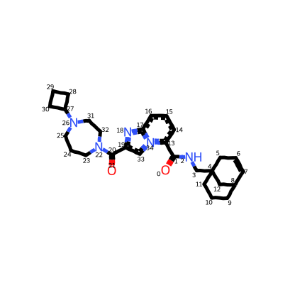 O=C(NCC12CC=CC(CCC1)C2)c1cccc2nc(C(=O)N3CCCN(C4CCC4)CC3)cn12